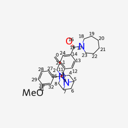 C=CCN1CC2CC(C1)N2C(c1ccc(C(=O)N2CCCCCC2)cc1)c1cccc(OC)c1